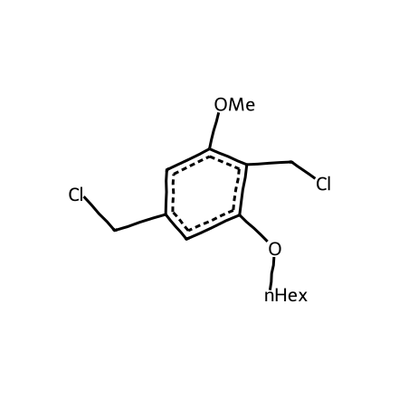 CCCCCCOc1cc(CCl)cc(OC)c1CCl